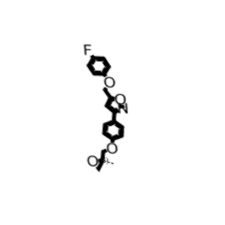 C[C@]1(COc2ccc(-c3cc(COc4ccc(F)cc4)on3)cc2)CO1